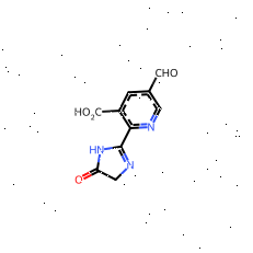 O=Cc1cnc(C2=NCC(=O)N2)c(C(=O)O)c1